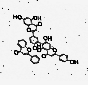 O=c1cc(-c2ccc(O)c(-c3c(O)cc4oc(-c5ccc(O)cc5)cc(=O)c4c3O)c2)oc2cc(O)cc(O)c12.O=c1cc(-c2ccccc2)oc2ccccc12